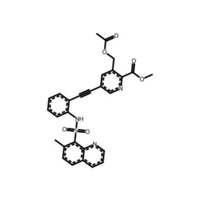 COC(=O)c1ncc(C#Cc2ccccc2NS(=O)(=O)c2c(C)ccc3cccnc23)cc1COC(C)=O